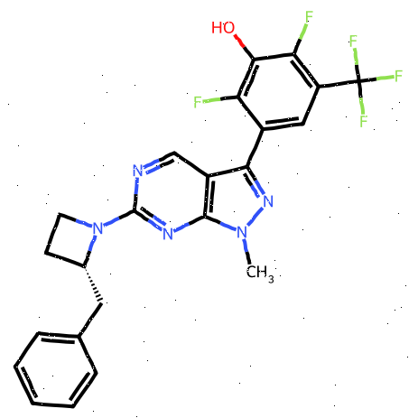 Cn1nc(-c2cc(C(F)(F)F)c(F)c(O)c2F)c2cnc(N3CC[C@H]3Cc3ccccc3)nc21